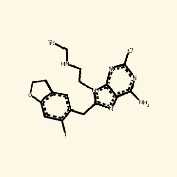 CC(C)CNCCn1c(Cc2cc3c(cc2I)OCC3)nc2c(N)nc(Cl)nc21